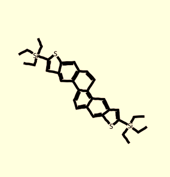 CC[Si](CC)(CC)c1cc2cc3c(ccc4c5cc6cc([Si](CC)(CC)CC)sc6cc5ccc34)cc2s1